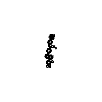 CN(CC1CCN(C(=O)OC(C)(C)C)CC1)C1CCN(c2cccc3c(N4CCC(=O)NC4=O)cncc23)CC1